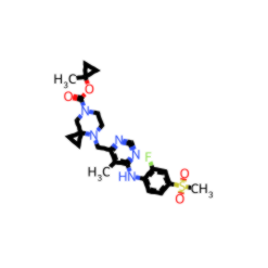 Cc1c(CN2CCN(C(=O)OC3(C)CC3)CC23CC3)ncnc1Nc1ccc(S(C)(=O)=O)cc1F